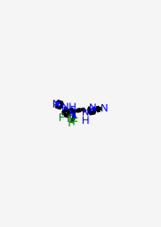 CN1CCC(Nc2cc(F)cc3c2cc(C#CCNc2ccc(C(C)(C)C#N)nc2)n3CC(F)(F)F)CC1